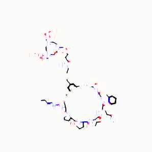 CCCCNC(=O)N[C@H]1CSCc2cc(CSCCNC(=O)CCP(=O)(O)CN3CCN(CP(=O)(O)CO)CCN(CP(=O)(O)CO)CC3)cc(c2)CSC[C@@H](C(=O)O)NC(=O)[C@H](Cc2ccccc2)NC(=O)[C@H](CCC(N)=O)NC(=O)[C@H](C(C)C)NC(=O)[C@@H]2CCCN2C(=O)[C@@H]2CCCN2C1=O